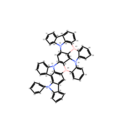 c1ccc(-n2c3ccccc3c3cc4c5c(c6ccccc6n5-c5cc6c7c8c5B4c4ccccc4N8c4ccccc4B7c4cccc5c7ccccc7n-6c45)c32)cc1